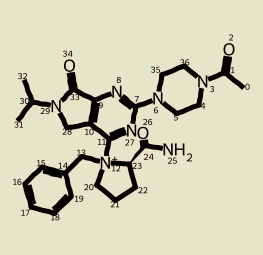 CC(=O)N1CCN(c2nc3c(c([N+]4(Cc5ccccc5)CCC[C@@H]4C(N)=O)n2)CN(C(C)C)C3=O)CC1